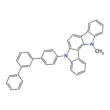 Cn1c2ccccc2c2ccc3c(c4ccccc4n3-c3ccc(-c4cccc(-c5ccccc5)c4)cc3)c21